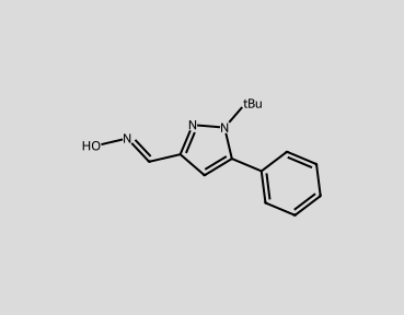 CC(C)(C)n1nc(C=NO)cc1-c1ccccc1